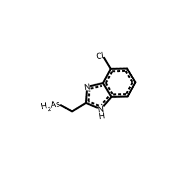 Clc1cccc2[nH]c(C[AsH2])nc12